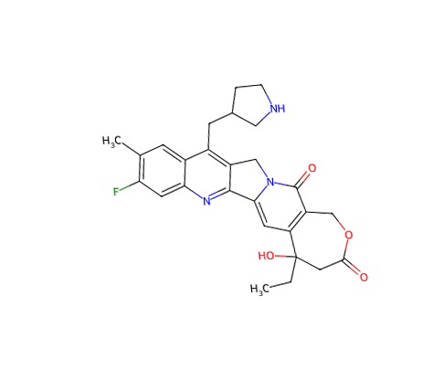 CCC1(O)CC(=O)OCc2c1cc1n(c2=O)Cc2c-1nc1cc(F)c(C)cc1c2CC1CCNC1